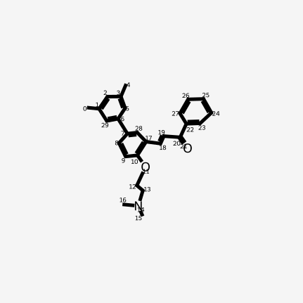 Cc1cc(C)cc(-c2ccc(OCCN(C)C)c(C=CC(=O)c3ccccc3)c2)c1